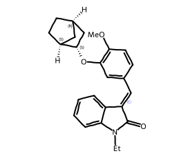 CCN1C(=O)/C(=C/c2ccc(OC)c(O[C@H]3C[C@@H]4CC[C@H]3C4)c2)c2ccccc21